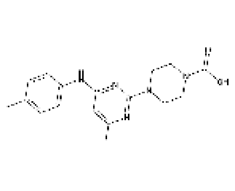 Cc1ccc(Nc2cc(C)nc(N3CCN(C(=O)O)CC3)n2)cc1